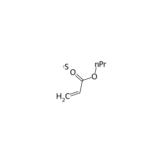 C=CC(=O)OCCC.[S]